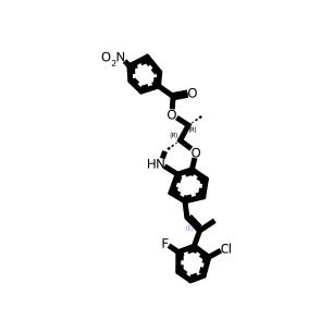 C/C(=C\c1ccc2c(c1)NC[C@H]([C@@H](C)OC(=O)c1ccc([N+](=O)[O-])cc1)O2)c1c(F)cccc1Cl